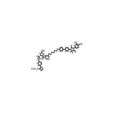 CCOC(=O)c1ncsc1-c1ccc(CNC(=O)[C@@H]2C[C@@H](O)CN2C(=O)[C@@H](NC(=O)COCCCCOc2ccc(-c3ccc(N4C(=S)N(c5ccc(C#N)c(C(F)(F)F)c5)C(=O)C4(C)C)cc3)cc2)C(C)(C)C)cc1